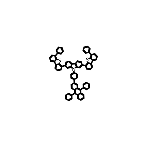 c1ccc(-c2c3ccccc3c(-c3ccccc3)c3cc(-c4ccc(-n5c6cc(-c7cccc8c7sc7c(-c9ccccc9)cccc78)ccc6c6ccc(-c7cccc8c7sc7c(-c9ccccc9)cccc78)cc65)cc4)ccc23)cc1